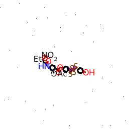 CCC(CC(=O)Nc1ccc(C(=O)Oc2ccc(P3(=S)SP(=S)(c4ccc(O)cc4)S3)cc2)c(OC(C)=O)c1)O[N+](=O)[O-]